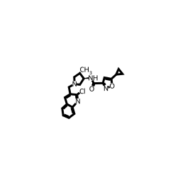 C[C@@H]1CN(Cc2cc3ccccc3nc2Cl)C[C@@H]1NC(=O)c1cc(C2CC2)on1